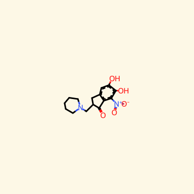 O=C1c2c(cc(O)c(O)c2[N+](=O)[O-])CC1CN1CCCCC1